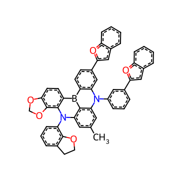 Cc1cc2c3c(c1)N(c1cccc4c1OCC4)c1c(ccc4c1OCO4)B3c1ccc(-c3cc4ccccc4o3)cc1N2c1cccc(-c2cc3ccccc3o2)c1